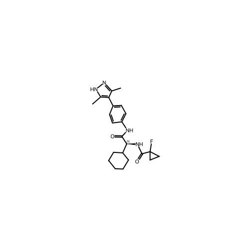 Cc1n[nH]c(C)c1-c1ccc(NC(=O)[C@@H](NC(=O)C2(F)CC2)C2CCCCC2)cc1